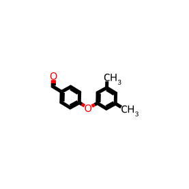 Cc1cc(C)cc(Oc2ccc(C=O)cc2)c1